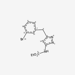 CCOC(=O)Nc1nnc(Cc2cccc(Br)c2)s1